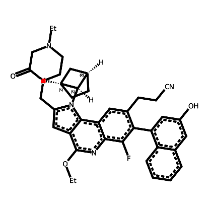 CCOc1nc2c(F)c(-c3cc(O)cc4ccccc34)c(CCC#N)cc2c2c1cc(CN1CCN(CC)CC1=O)n2[C@@H]1[C@@H]2CC[C@H]1C2